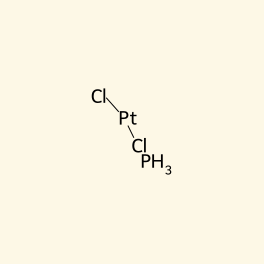 P.[Cl][Pt][Cl]